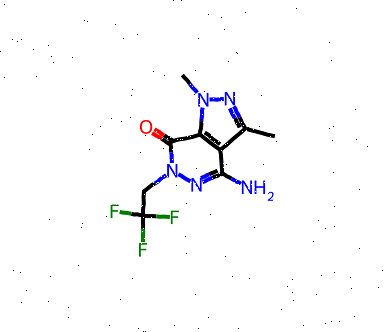 Cc1nn(C)c2c(=O)n(CC(F)(F)F)nc(N)c12